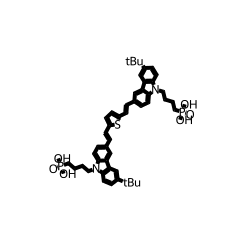 CC(C)(C)c1ccc2c(c1)c1cc(/C=C/c3ccc(/C=C/c4ccc5c(c4)c4cc(C(C)(C)C)ccc4n5CCCCP(=O)(O)O)s3)ccc1n2CCCCP(=O)(O)O